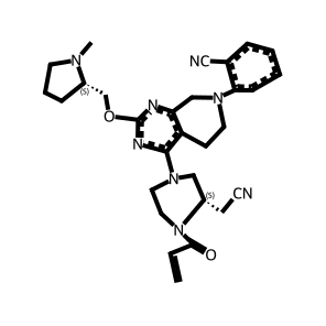 C=CC(=O)N1CCN(c2nc(OC[C@@H]3CCCN3C)nc3c2CCN(c2ccccc2C#N)C3)C[C@@H]1CC#N